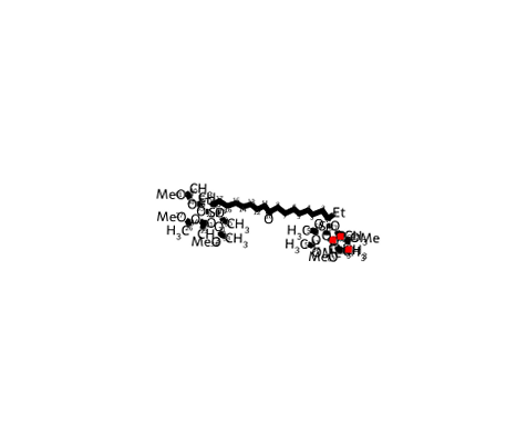 CCC(CCCCCCCC(=O)CCCCCCCC(CC)[Si](OC(C)OC(C)OC)(OC(C)OC(C)OC)OC(C)OC(C)OC)[Si](OC(C)OC(C)OC)(OC(C)OC(C)OC)OC(C)OC(C)OC